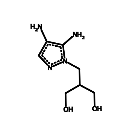 Nc1cnn(CC(CO)CO)c1N